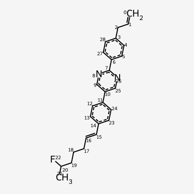 C=CCc1ccc(-c2ncc(-c3ccc(C=CCCCC(C)F)cc3)cn2)cc1